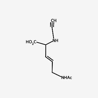 C#CNC(C=CCNC(C)=O)C(=O)O